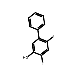 Oc1cc(-c2ccccc2)c(F)cc1F